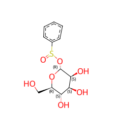 O=S(O[C@H]1O[C@H](CO)[C@@H](O)[C@H](O)[C@@H]1O)c1ccccc1